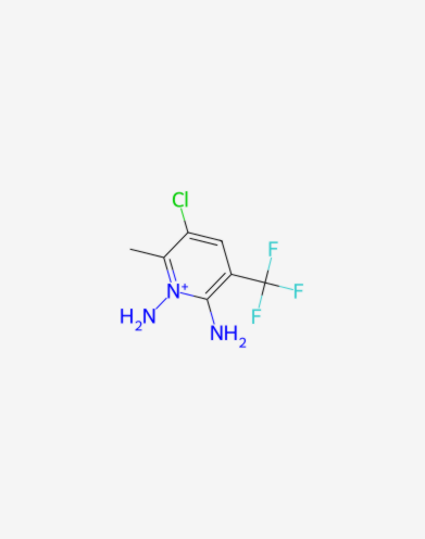 Cc1c(Cl)cc(C(F)(F)F)c(N)[n+]1N